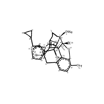 CO[C@@]12CC(=C3[C@H]4Cc5ccc(O)c6c5[C@@]3(CCN4CC3CC3)[C@H]1O6)[C@]2(C)C(O)c1ccsc1